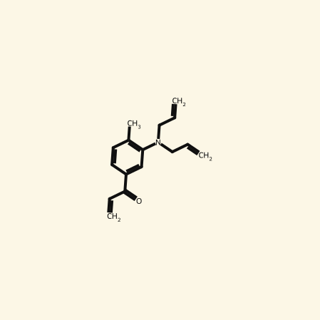 C=CCN(CC=C)c1cc(C(=O)C=C)ccc1C